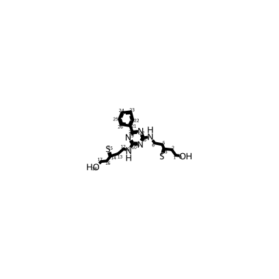 OCCC(=S)CCNc1nc(NCCC(=S)CCO)nc(-c2ccccc2)n1